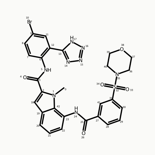 Cn1c(C(=O)Nc2ccc(Br)cc2-c2nnn[nH]2)cc2cccc(NC(=O)c3cccc(S(=O)(=O)N4CCOCC4)c3)c21